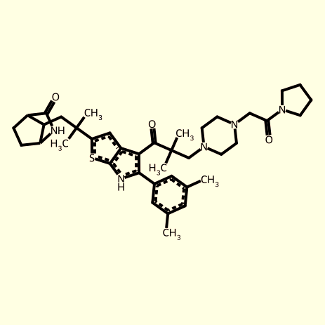 Cc1cc(C)cc(-c2[nH]c3sc(C(C)(C)CC4C5CCC4C(=O)N5)cc3c2C(=O)C(C)(C)CN2CCN(CC(=O)N3CCCC3)CC2)c1